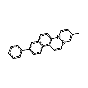 CC1=CB2C=Cc3c(ccc4cc(-c5ccccc5)ccc34)N2C=C1